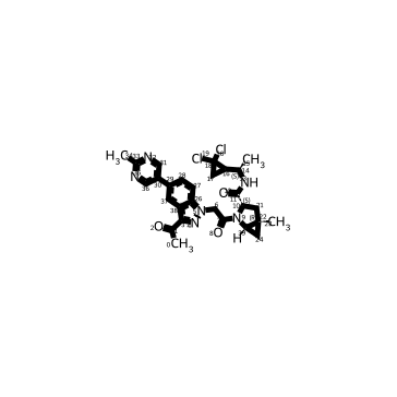 CC(=O)c1nn(CC(=O)N2[C@H](C(=O)N[C@@H](C)C3CC3(Cl)Cl)C[C@@]3(C)C[C@@H]23)c2ccc(-c3cnc(C)nc3)cc12